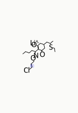 CCCCC(=NOC/C=C/Cl)C1=C([O-])CC(CC(C)SCC)CC1=O.[Li+]